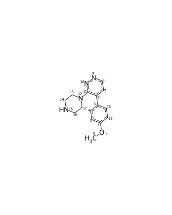 COc1ccc(-c2ccnnc2N2CCNCC2)cc1